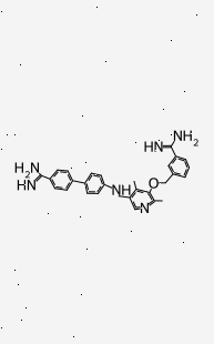 Cc1ncc(CNc2ccc(-c3ccc(C(=N)N)cc3)cc2)c(C)c1OCc1cccc(C(=N)N)c1